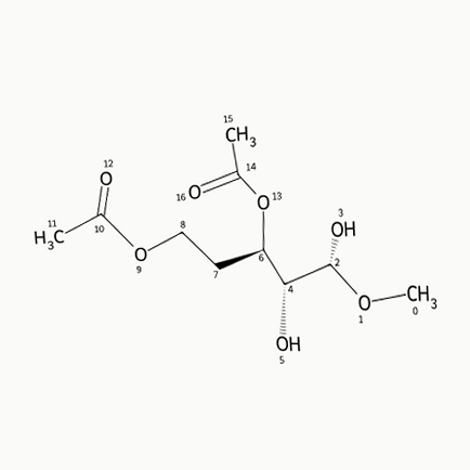 CO[C@@H](O)[C@H](O)[C@@H](CCOC(C)=O)OC(C)=O